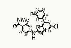 CNC(=O)c1ccc(Nc2nc3c(-c4cccc(F)c4)cc(Cl)cn3n2)cc1